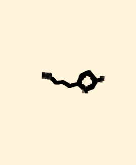 OCCCc1ccc(F)cn1